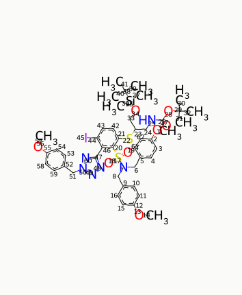 COc1ccc(CN(Cc2ccc(OC)cc2)S(=O)(=O)c2c(SC(CNC(=O)OC(C)(C)C)CO[Si](C)(C)C(C)(C)C)ccc(I)c2-c2nnn(Cc3ccc(OC)cc3)n2)cc1